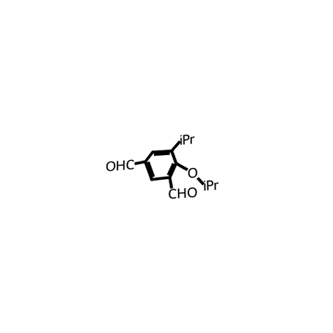 CC(C)Oc1c(C=O)cc(C=O)cc1C(C)C